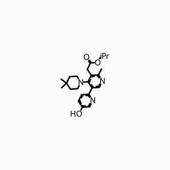 Cc1ncc(-c2ccc(O)cn2)c(N2CCC(C)(C)CC2)c1CC(=O)OC(C)C